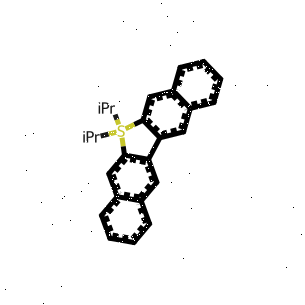 CC(C)S1(C(C)C)c2cc3ccccc3cc2-c2cc3ccccc3cc21